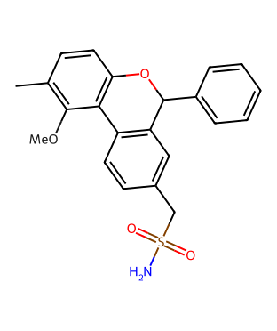 COc1c(C)ccc2c1-c1ccc(CS(N)(=O)=O)cc1C(c1ccccc1)O2